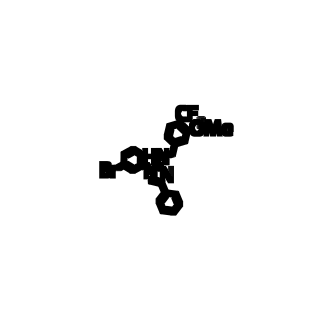 COc1cc(CNc2nc(-c3ccccc3)cn2-c2cccc(Br)c2)ccc1C(F)(F)F